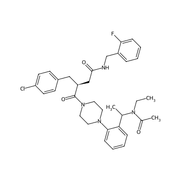 CCN(C(C)=O)C(C)c1ccccc1N1CCN(C(=O)[C@H](CC(=O)NCc2ccccc2F)Cc2ccc(Cl)cc2)CC1